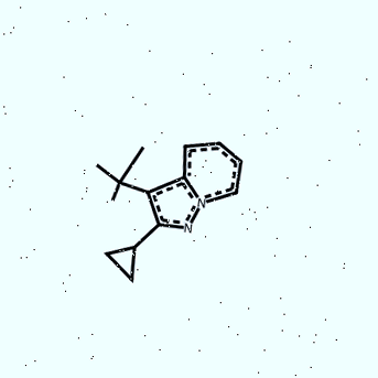 CC(C)(C)c1c(C2CC2)nn2ccccc12